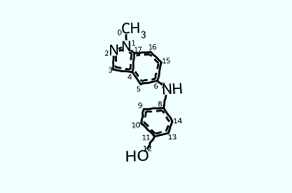 Cn1ncc2cc(Nc3ccc(O)cc3)ccc21